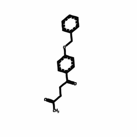 CC(=O)CCC(=O)c1ccc(OCc2ccccc2)cc1